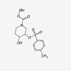 Cc1ccc(S(=O)(=O)OC2CN(C(=O)OC(C)(C)C)CCC2O)cc1